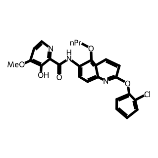 CCCOc1c(NC(=O)c2nccc(OC)c2O)ccc2nc(Oc3ccccc3Cl)ccc12